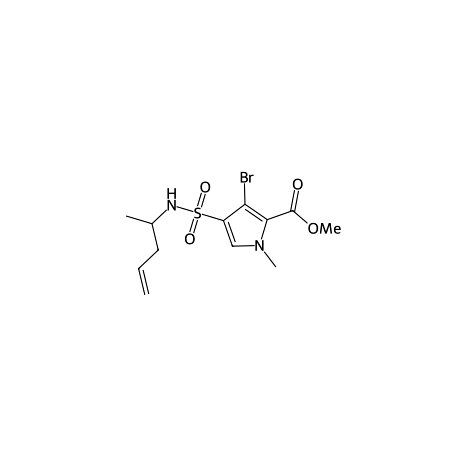 C=CCC(C)NS(=O)(=O)c1cn(C)c(C(=O)OC)c1Br